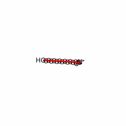 [N-]=[N+]=NCC(=O)OCCOCCOCCOCCOCCOCCOCCOCCOCCOCCOCCOCCO